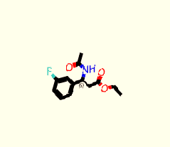 CCOC(=O)C[C@H](NC(C)=O)c1cccc(F)c1